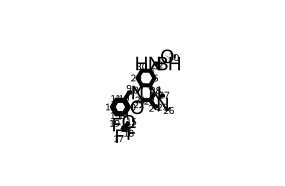 COBN[C@H]1CC[C@@H](N(Cc2cccc(OC(F)(F)F)c2)C(=O)C2CN(C)C=N2)CC1